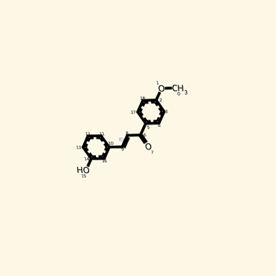 COc1ccc(C(=O)/C=C/c2cccc(O)c2)cc1